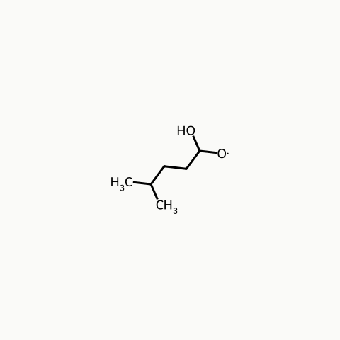 CC(C)CCC([O])O